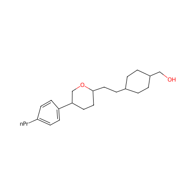 CCCc1ccc(C2CCC(CCC3CCC(CO)CC3)OC2)cc1